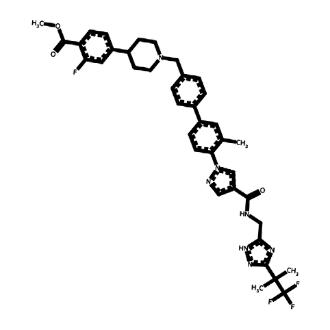 COC(=O)c1ccc(C2CCN(Cc3ccc(-c4ccc(-n5cc(C(=O)NCc6nc(C(C)(C)C(F)(F)F)n[nH]6)cn5)c(C)c4)cc3)CC2)cc1F